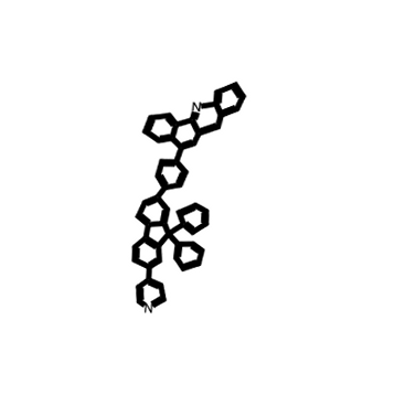 c1ccc(C2(c3ccccc3)c3cc(-c4ccncc4)ccc3-c3ccc(-c4ccc(-c5cc6cc7ccccc7nc6c6ccccc56)cc4)cc32)cc1